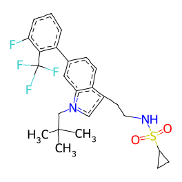 CC(C)(C)Cn1cc(CCNS(=O)(=O)C2CC2)c2ccc(-c3cccc(F)c3C(F)(F)F)cc21